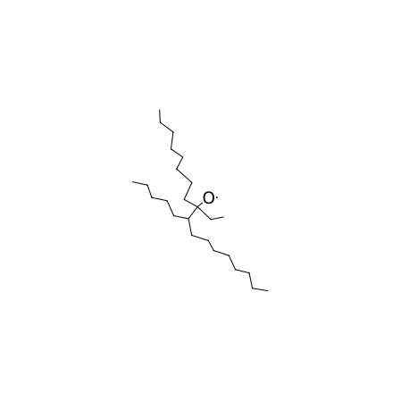 CCCCCCCCC(CCCCC)C([O])(CC)CCCCCCCC